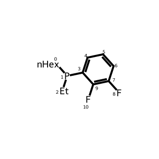 CCCCCCP(CC)c1cccc(F)c1F